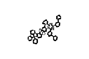 c1ccc(-c2cccc(-c3nc(-c4cccc(-c5ccccc5)c4)nc(-c4ccccc4-c4ccc5c(c4)Oc4c(ccc6c4-c4ccccc4C6(c4ccccc4)c4ccccc4)O5)n3)c2)cc1